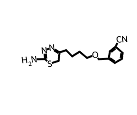 N#Cc1cccc(COCCCCC2=NN=C(N)SC2)c1